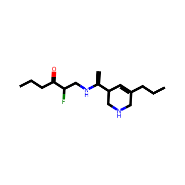 C=C(NCC(F)C(=O)CCC)C1C=C(CCC)CNC1